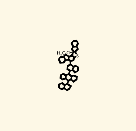 CC1(C)c2ccccc2-c2c(-c3ccc(-c4c5ccccc5c(-c5cccc6ccccc56)c5ccccc45)c4ccccc34)cc3sc4cc5ccccc5cc4c3c21